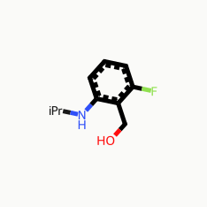 CC(C)Nc1cccc(F)c1CO